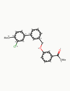 COC(=O)c1cccc(OCc2cccc(-c3ccc(OC)c(Cl)c3)c2)c1